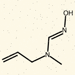 C=CCN(C)C=NO